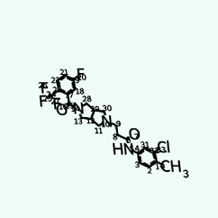 Cc1ccc(NC(=O)CCN2CC3CN(C(=O)c4cc(F)ccc4C(F)(F)F)CC3C2)cc1Cl